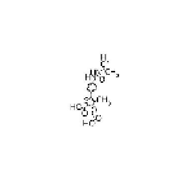 Cc1c(-c2ccc(NC(=O)NC(C)C)cc2)sc(C(=O)O)c1OCC(=O)O